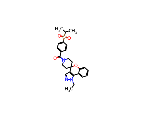 CCn1ncc2c1-c1ccccc1OC21CCN(C(=O)c2ccc(S(=O)(=O)C(C)C)cc2)CC1